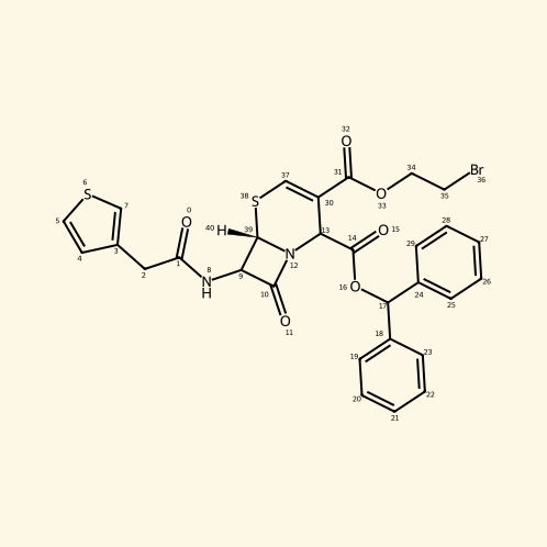 O=C(Cc1ccsc1)NC1C(=O)N2C(C(=O)OC(c3ccccc3)c3ccccc3)C(C(=O)OCCBr)=CS[C@@H]12